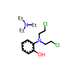 CCN(CC)CC.Oc1ccccc1N(CCCl)CCCl